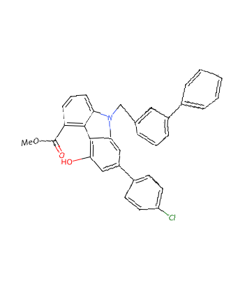 COC(=O)c1cccc2c1c1c(O)cc(-c3ccc(Cl)cc3)cc1n2Cc1cccc(-c2ccccc2)c1